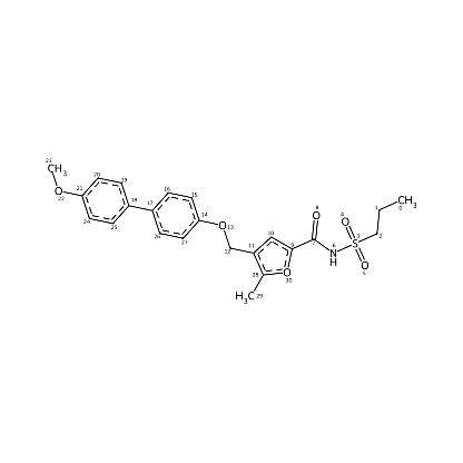 CCCS(=O)(=O)NC(=O)c1cc(COc2ccc(-c3ccc(OC)cc3)cc2)c(C)o1